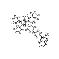 CCc1nc2ccccc2n1-c1ccc(-c2cccc(-c3nc4ccccc4c4ccc5c(nc(-c6ccccc6)n5-c5ccccc5)c34)c2)cc1